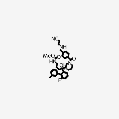 COC(=O)NCCC[C@@](O)(c1cccc(F)c1-c1cccc(C)c1)[C@@H]1CCCN(C(=O)c2ccc(CNCCC#N)cc2)C1